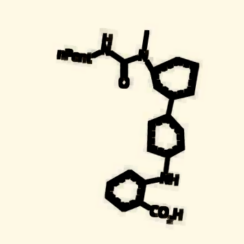 CCCCCNC(=O)N(C)c1cccc(-c2ccc(Nc3ccccc3C(=O)O)cc2)c1